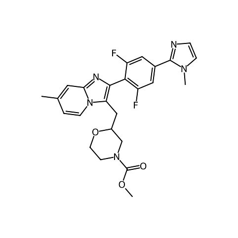 COC(=O)N1CCOC(Cc2c(-c3c(F)cc(-c4nccn4C)cc3F)nc3cc(C)ccn23)C1